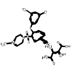 CN1CCN(S(=O)(=O)c2cc(C#N)ccc2Sc2cc(Cl)cc(Cl)c2)CC1.O=C(O)C(O)C(O)C(=O)O